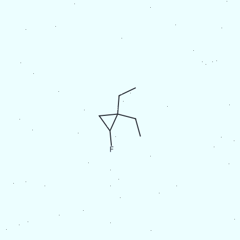 CCC1(CC)CC1F